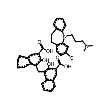 CN(C)CCCN1c2ccccc2CCc2ccc(Cl)cc21.O=C(O)c1cc2ccccc2c(Cc2c(O)c(C(=O)O)cc3ccccc23)c1O